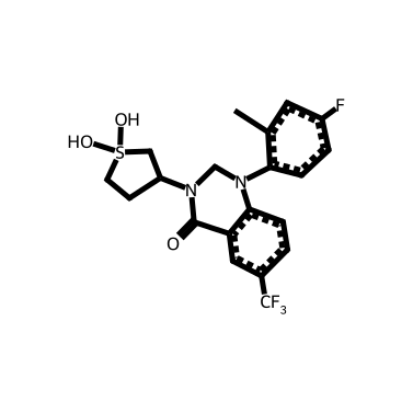 Cc1cc(F)ccc1N1CN(C2CCS(O)(O)C2)C(=O)c2cc(C(F)(F)F)ccc21